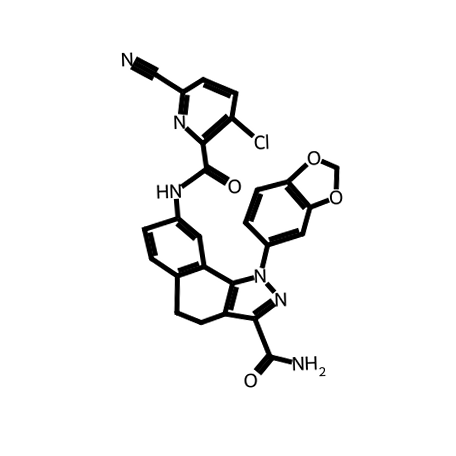 N#Cc1ccc(Cl)c(C(=O)Nc2ccc3c(c2)-c2c(c(C(N)=O)nn2-c2ccc4c(c2)OCO4)CC3)n1